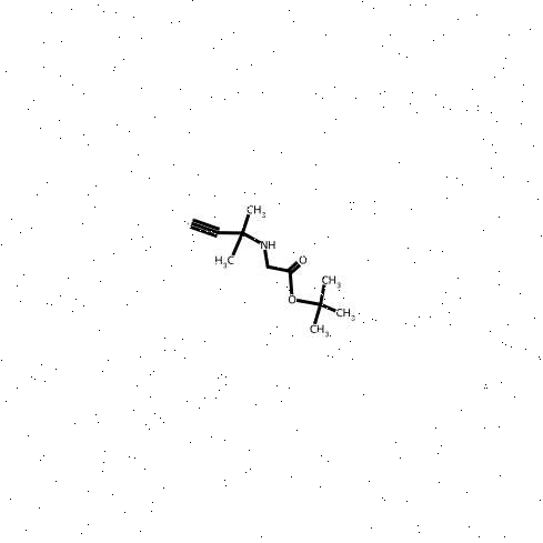 [C]#CC(C)(C)NCC(=O)OC(C)(C)C